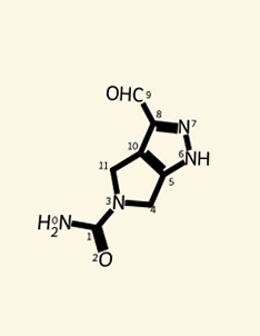 NC(=O)N1Cc2[nH]nc(C=O)c2C1